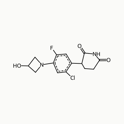 O=C1CCC(c2cc(F)c(N3CC(O)C3)cc2Cl)C(=O)N1